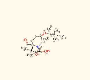 CC(C)(C)[C@@]1(C=O)CC[C@@H](O[Si](C)(C)C(C)(C)C)CN1C(=O)O